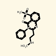 CS(=O)(=O)c1cccc2nc(CCNC(=O)O)n(-c3ccccc3)c(=O)c12